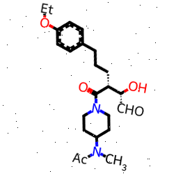 CCOc1ccc(CCC[C@@H](C(=O)N2CCC(N(C)C(C)=O)CC2)[C@H](O)C=O)cc1